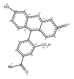 CC(C)(C)C(=O)c1ccc(-c2c3ccc(=O)cc-3oc3cc(O)ccc23)c(C(=O)O)c1